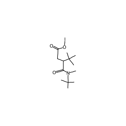 CN(C(=O)C(CC(=O)OI)C(C)(C)C)C(C)(C)C